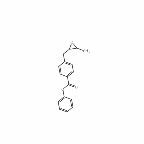 CC1OC1Cc1ccc(C(=O)Oc2ccccc2)cc1